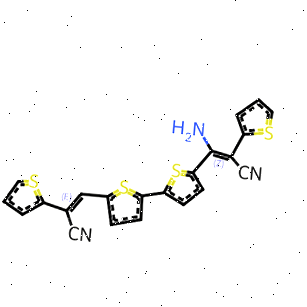 N#C/C(=C(/N)c1ccc(-c2ccc(/C=C(\C#N)c3cccs3)s2)s1)c1cccs1